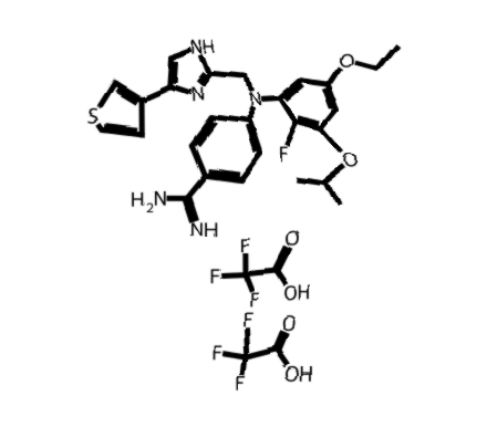 CCOc1cc(OC(C)C)c(F)c(N(Cc2nc(-c3ccsc3)c[nH]2)c2ccc(C(=N)N)cc2)c1.O=C(O)C(F)(F)F.O=C(O)C(F)(F)F